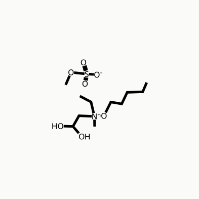 CCCCCO[N+](C)(CC)CC(O)O.COS(=O)(=O)[O-]